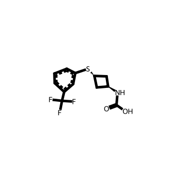 O=C(O)N[C@H]1C[C@H](Sc2cccc(C(F)(F)F)c2)C1